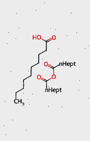 CCCCCCCC(=O)OC(=O)CCCCCCC.CCCCCCCCCC(=O)O